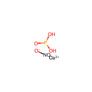 O=[N+]([O-])[O-].[Ca+2].[O-]P(O)O